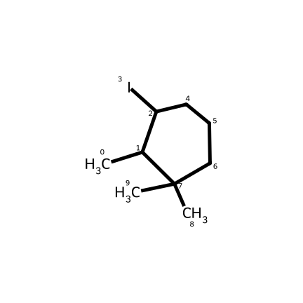 CC1C(I)CCCC1(C)C